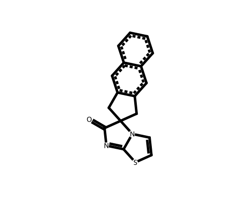 O=C1N=C2SC=CN2C12Cc1cc3ccccc3cc1C2